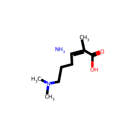 CC(=CCCCN(C)C)C(=O)O.N